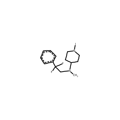 CN(CC(F)(F)c1ccccc1)C1CCN(I)CC1